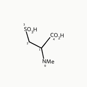 CNC(CS(=O)(=O)O)C(=O)O